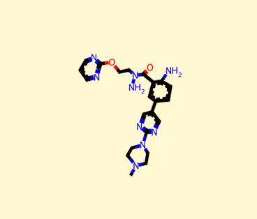 CN1CCN(c2ncc(-c3ccc(N)c(C(=O)N(N)CCOc4ncccn4)c3)cn2)CC1